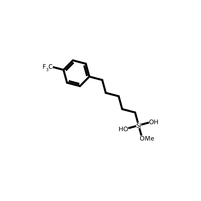 CO[Si](O)(O)CCCCCc1ccc(C(F)(F)F)cc1